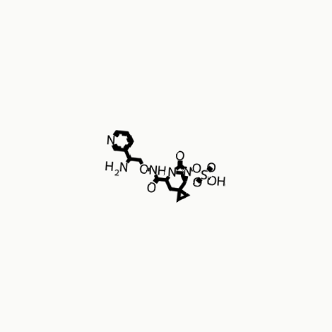 NC(CONC(=O)C1CC2(CC2)C2CN1C(=O)N2OS(=O)(=O)O)c1cccnc1